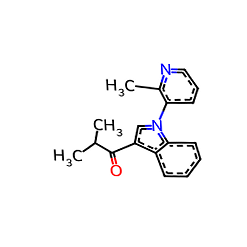 Cc1ncccc1-n1cc(C(=O)C(C)C)c2ccccc21